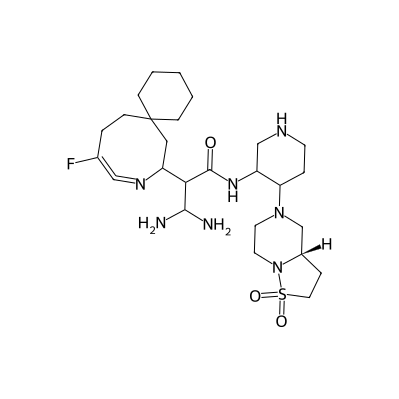 NC(N)C(C(=O)NC1CNCCC1N1CCN2[C@@H](CCS2(=O)=O)C1)C1CC2(CCCCC2)CCC(F)=C=N1